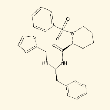 O=C(N[C@@H](Cc1ccccc1)NCc1cccs1)[C@@H]1CCCCN1S(=O)(=O)c1ccccc1